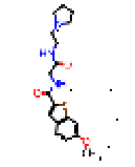 COc1ccc2cc(C(=O)NCC(=O)NCCN3CCCC3)sc2c1